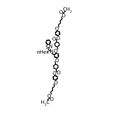 C=CC(=O)OCCCCCCOc1ccc(OC(=O)C2CCC(COc3ccc(OCC4CCC(C(=O)Oc5ccc(OCCCCCCOC(=O)C=C)cc5)CC4)c(/C=N/N(CCCCCC)c4nc5ccccc5s4)c3)CC2)cc1